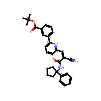 CC(C)(C)OC(=O)c1cccc(-c2cccc(C=C(C#N)C(=O)NC3(c4ccccc4)CCCC3)n2)c1